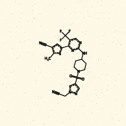 Cc1sc(-c2nc(NC3CCN(S(=O)(=O)c4cnn(CC#N)c4)CC3)ncc2C(F)(F)F)cc1C#N